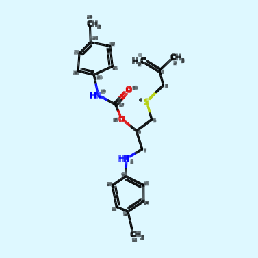 C=C(C)CSCC(CNc1ccc(C)cc1)OC(=O)Nc1ccc(C)cc1